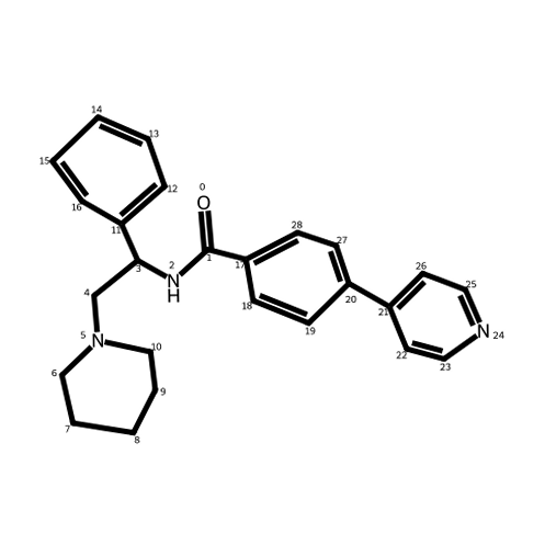 O=C(NC(CN1CCCCC1)c1ccccc1)c1ccc(-c2ccncc2)cc1